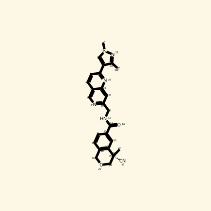 Cn1cc(-c2ccc3cnc(CNC(=O)c4ccc5c(c4)[C@](C)(C#N)COC5)cc3n2)c(F)n1